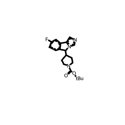 CC(C)(C)OC(=O)N1CCC(C2c3ccc(F)cc3-c3cncn32)CC1